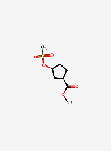 COC(=O)[C@@H]1CC[C@H](OS(C)(=O)=O)C1